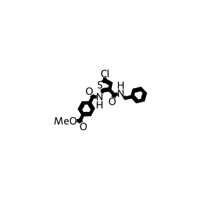 COC(=O)c1ccc(C(=O)Nc2sc(Cl)cc2C(=O)NCc2ccccc2)cc1